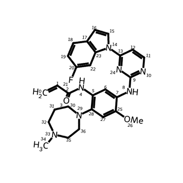 C=CC(=O)Nc1cc(Nc2nccc(-n3ccc4ccc(F)cc43)n2)c(OC)cc1N1CCCN(C)CC1